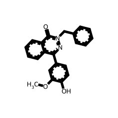 COc1cc(-c2nn(Cc3ccccc3)c(=O)c3ccccc23)ccc1O